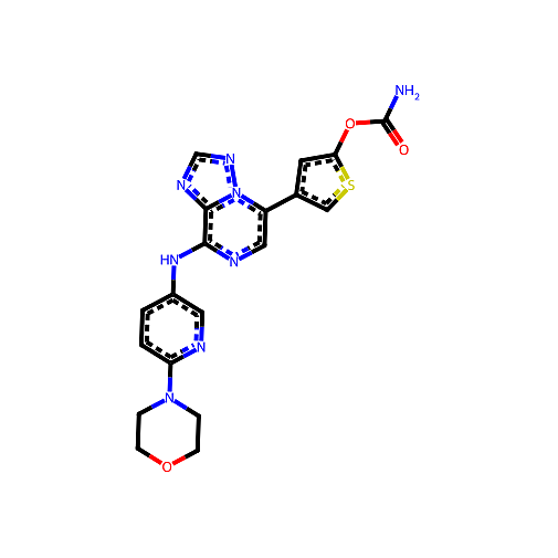 NC(=O)Oc1cc(-c2cnc(Nc3ccc(N4CCOCC4)nc3)c3ncnn23)cs1